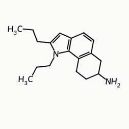 CCCc1cc2ccc3c(c2n1CCC)CCC(N)C3